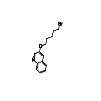 BrCCCCCOc1cnc2ccccc2c1